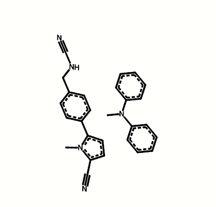 CN(c1ccccc1)c1ccccc1.Cn1c(C#N)ccc1-c1ccc(CNC#N)cc1